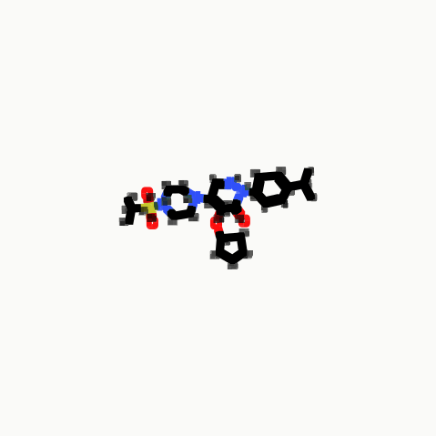 CC(C)c1ccc(-n2ncc(N3CCN(S(=O)(=O)C(C)C)CC3)c(OC3CCCC3)c2=O)cc1